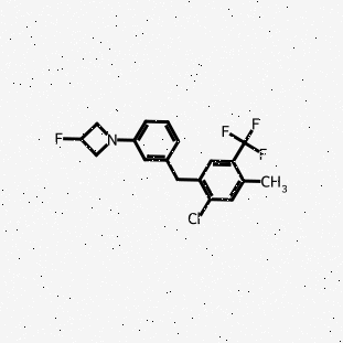 Cc1cc(Cl)c(Cc2cccc(N3CC(F)C3)c2)cc1C(F)(F)F